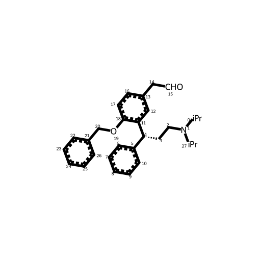 CC(C)N(CC[C@H](c1ccccc1)c1cc(CC=O)ccc1OCc1ccccc1)C(C)C